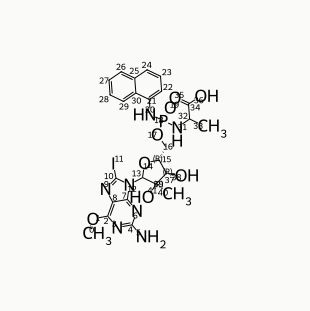 COc1nc(N)nc2c1nc(I)n2C1O[C@H](COP(=O)(Nc2cccc3ccccc23)NC(C)C(=O)O)[C@@H](O)[C@@]1(C)O